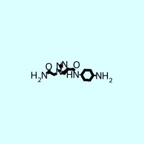 NC(=O)Cn1cc(C(=O)N[C@H]2CC[C@H](N)CC2)nn1